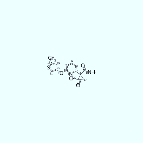 [NH]C(=O)C1(c2cccc(Oc3csc(C(F)(F)F)c3)n2)CC1(Cl)Cl